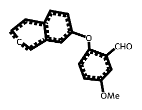 COc1ccc(Oc2ccc3ccccc3c2)c(C=O)c1